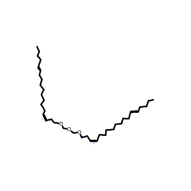 CCCCC=CCCCCCCCC/C=C\CCOCOCOCC/C=C\CCCCCCCCC=CCCCC